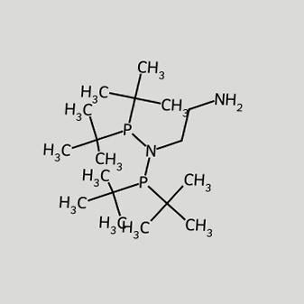 CC(C)(C)P(N(CCN)P(C(C)(C)C)C(C)(C)C)C(C)(C)C